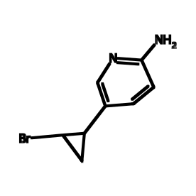 Nc1ccc(C2CC2Br)cn1